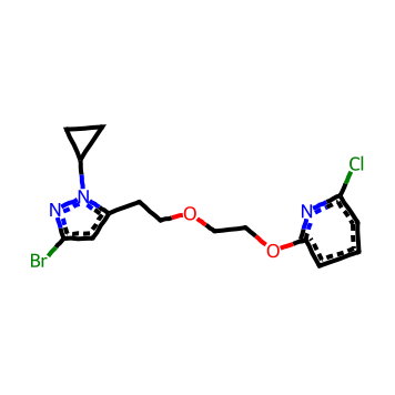 Clc1cccc(OCCOCCc2cc(Br)nn2C2CC2)n1